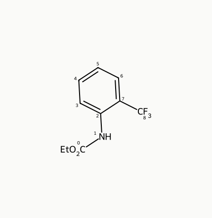 CCOC(=O)Nc1ccccc1C(F)(F)F